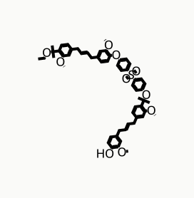 CCOC(C)(C)c1ccc(C/C=C/Cc2ccc(Oc3ccc(S(=O)(=O)c4ccc(OC(C)(C)c5ccc(C/C=C/Cc6ccc(O)c(OC)c6)cc5OC)cc4)cc3)c(OC)c2)cc1OC